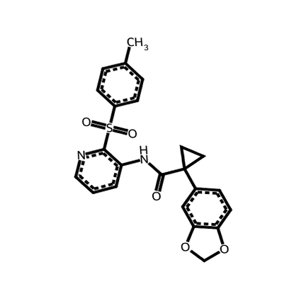 Cc1ccc(S(=O)(=O)c2ncccc2NC(=O)C2(c3ccc4c(c3)OCO4)CC2)cc1